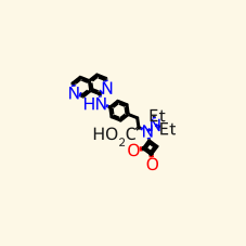 CCN(CC)N(c1cc(=O)c1=O)C(Cc1ccc(Nc2nccc3ccncc23)cc1)C(=O)O